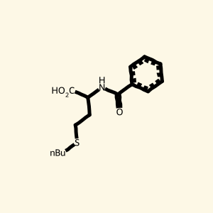 CCCCSCCC(NC(=O)c1ccccc1)C(=O)O